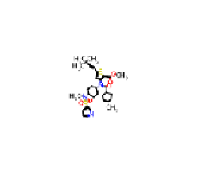 COC(=O)c1sc(C#CC(C)(C)C)cc1N(C(=O)[C@H]1CC[C@H](C)CC1)[C@H]1CC[C@H](N(C)S(=O)(=O)c2cccnc2)CC1